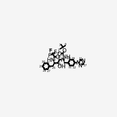 CC(C)(C)OC(=O)NN(Cc1ccc(-n2cncn2)cc1)CC(O)C(Cc1ccccc1)NC(=O)C(F)(F)F